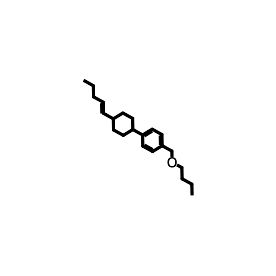 CCC/C=C/C1CCC(c2ccc(COCCCC)cc2)CC1